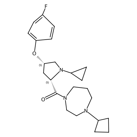 O=C([C@@H]1C[C@H](Oc2ccc(F)cc2)CN1C1CC1)N1CCCN(C2CCC2)CC1